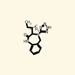 CC[C@H](C)C1C(=O)Nc2ccccc2CN1c1nn[nH]n1